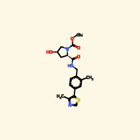 Cc1cc(-c2scnc2C)ccc1CNC(=O)[C@@H]1C[C@@H](O)CN1C(=O)OC(C)(C)C